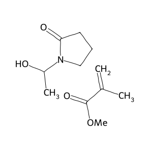 C=C(C)C(=O)OC.CC(O)N1CCCC1=O